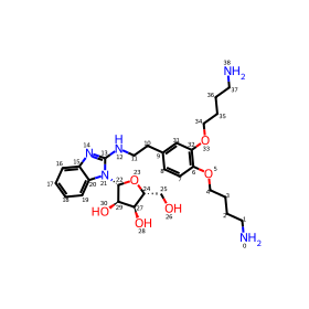 NCCCCOc1ccc(CCNc2nc3ccccc3n2[C@@H]2O[C@H](CO)[C@@H](O)[C@H]2O)cc1OCCCCN